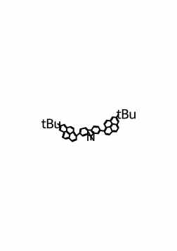 Cn1c2cc(-c3ccc4ccc5cc(C(C)(C)C)cc6ccc3c4c56)ccc2c2ccc(-c3ccc4ccc5cc(C(C)(C)C)cc6ccc3c4c56)cc21